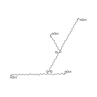 CCCCCCCC/C=C\CCCCCCCCCCCCCCCCCCCC(CCCCCCCC/C=C\CCCCCCCC)OC(=O)CCCCCCCCCCC(=O)OC(CCCCCCCC/C=C\CCCCCCCC)CCCCCCCCCCCCCCCCCCC/C=C\CCCCCCCC